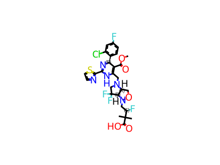 COC(=O)C1=C(CN2CC(F)(F)[C@H]3[C@@H]2CON3C[C@@H](F)C(C)(C)C(=O)O)NC(c2nccs2)=N[C@H]1c1ccc(F)cc1Cl